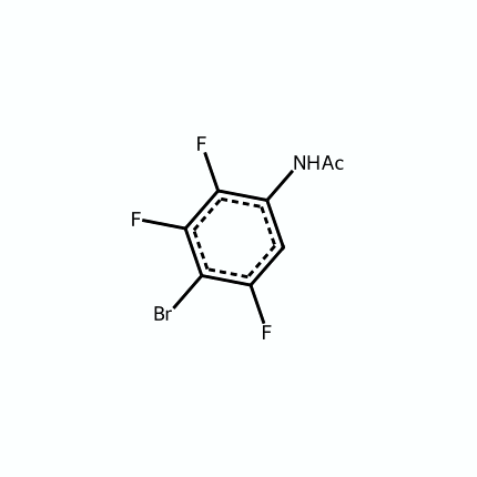 CC(=O)Nc1cc(F)c(Br)c(F)c1F